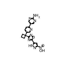 Nc1ncc(-c2ccc(C3(c4noc(-c5cc([N+](=O)O)n[nH]5)n4)CCC3)cn2)cn1